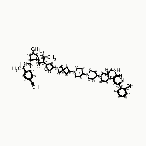 C#Cc1ccc([C@H](C)NC(=O)[C@@H]2C[C@@H](O)CN2C(=O)C(c2cc(N3CC4(CC(N5CCC(N6CCC(N7CCN8c9cc(-c%10ccccc%10O)nnc9NC[C@H]8C7)CC6)CC5)C4)C3)no2)C(C)C)cc1